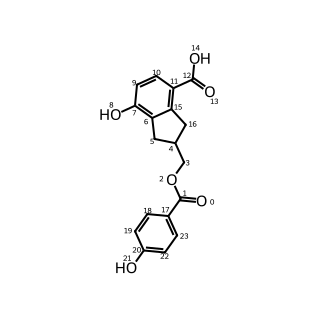 O=C(OCC1Cc2c(O)ccc(C(=O)O)c2C1)c1ccc(O)cc1